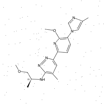 COC[C@H](C)Nc1nnc(-c2ccc(-n3cnc(C)c3)c(OC)n2)cc1C